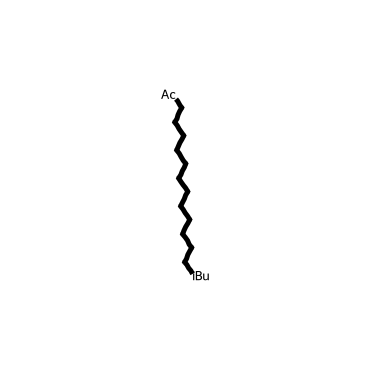 CCC(C)CCCCCCCCCCCCC(C)=O